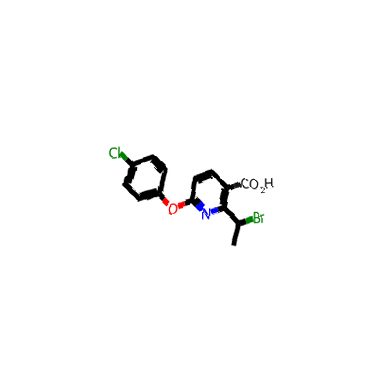 CC(Br)c1nc(Oc2ccc(Cl)cc2)ccc1C(=O)O